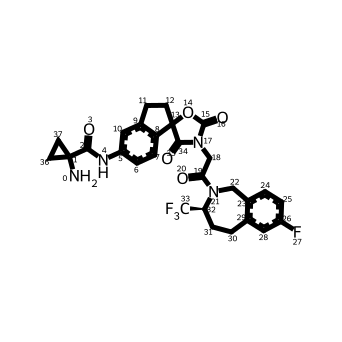 NC1(C(=O)Nc2ccc3c(c2)CCC32OC(=O)N(CC(=O)N3Cc4ccc(F)cc4CC[C@H]3C(F)(F)F)C2=O)CC1